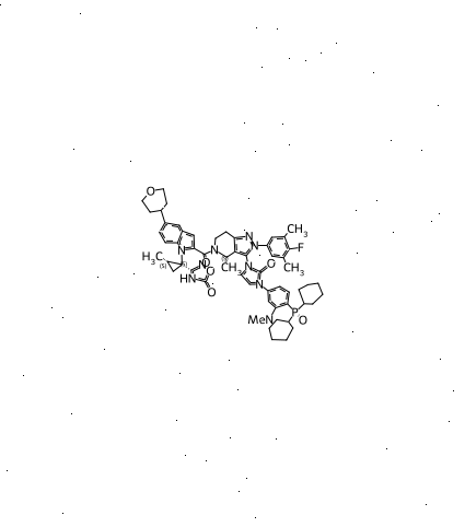 CNc1cc(-n2ccn(-c3c4c(nn3-c3cc(C)c(F)c(C)c3)CCN(C(=O)c3cc5cc(C6CCOCC6)ccc5n3[C@@]3(c5noc(=O)[nH]5)C[C@@H]3C)[C@H]4C)c2=O)ccc1P(=O)(C1CCCCC1)C1CCCCC1